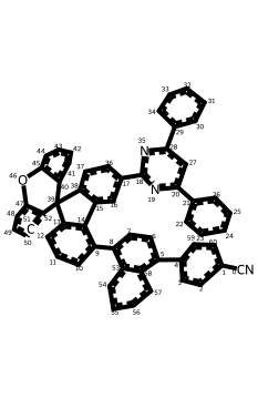 N#Cc1ccc(-c2ccc(-c3cccc4c3-c3cc(-c5nc(-c6ccccc6)cc(-c6ccccc6)n5)ccc3C43c4ccccc4Oc4ccccc43)c3ccccc23)cc1